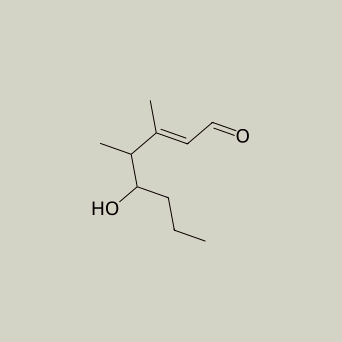 CCCC(O)C(C)C(C)=CC=O